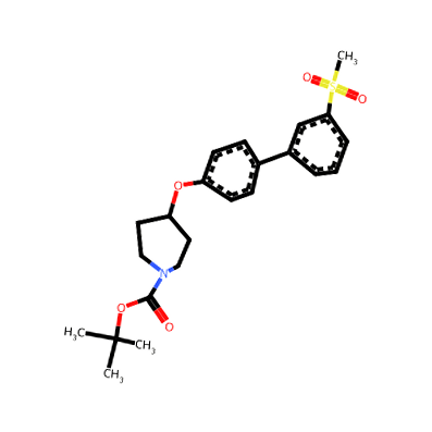 CC(C)(C)OC(=O)N1CCC(Oc2ccc(-c3cccc(S(C)(=O)=O)c3)cc2)CC1